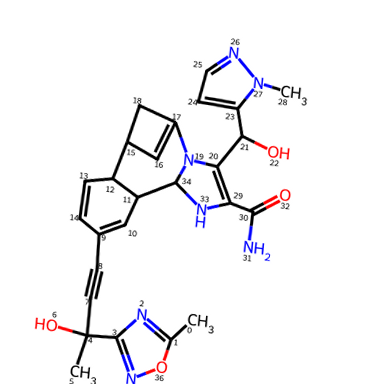 Cc1nc(C(C)(O)C#CC2=CC3C(C=C2)C2C=C(C2)N2C(C(O)c4ccnn4C)=C(C(N)=O)NC32)no1